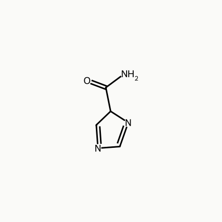 NC(=O)C1C=NC=N1